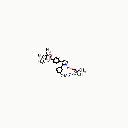 COc1cccc(-c2c(-c3ccc(B4OC(C)(C)C(C)(C)O4)c(F)c3F)cnn2COCC[Si](C)(C)C)c1